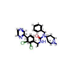 CC(NC(=O)N(Cc1ccccc1)C1CCN(C)CC1)c1ccc(-c2cnccn2)c(Cl)c1Cl